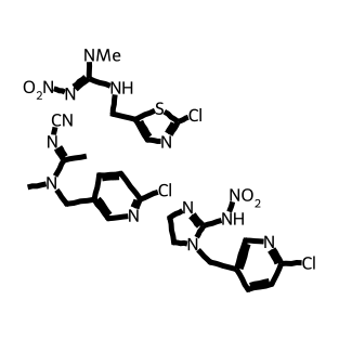 C/C(=N\C#N)N(C)Cc1ccc(Cl)nc1.CNC(=N[N+](=O)[O-])NCc1cnc(Cl)s1.O=[N+]([O-])NC1=NCCN1Cc1ccc(Cl)nc1